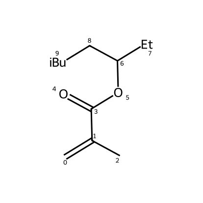 C=C(C)C(=O)OC(CC)CC(C)CC